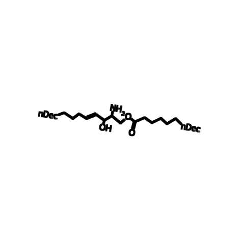 CCCCCCCCCCCCCC=CC(O)C(N)COC(=O)CCCCCCCCCCCCCCC